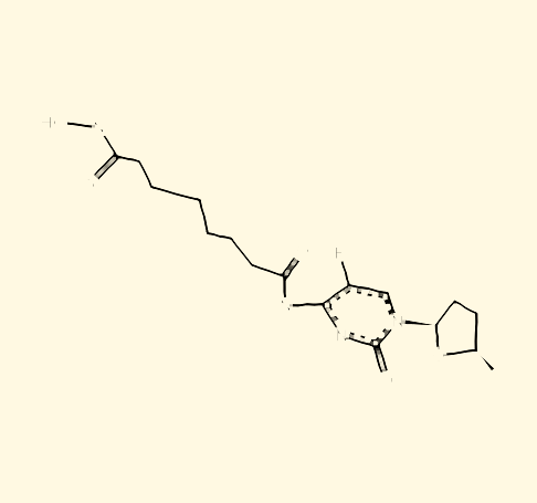 C[C@@H]1CC[C@H](n2cc(F)c(NC(=O)CCCCCCC(=O)NO)nc2=O)O1